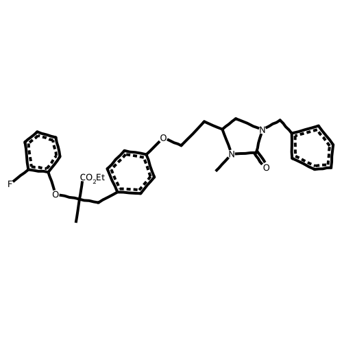 CCOC(=O)C(C)(Cc1ccc(OCCC2CN(Cc3ccccc3)C(=O)N2C)cc1)Oc1ccccc1F